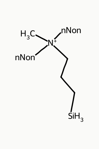 CCCCCCCCC[N+](C)(CCC[SiH3])CCCCCCCCC